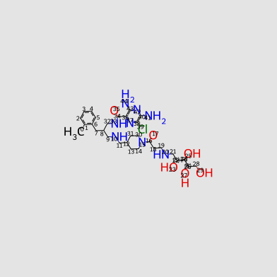 Cc1ccccc1CC(CNCC1CCN(C(=O)CCNC[C@H](O)[C@@H](O)[C@H](O)CO)CC1)CNC(=O)c1nc(Cl)c(N)nc1N